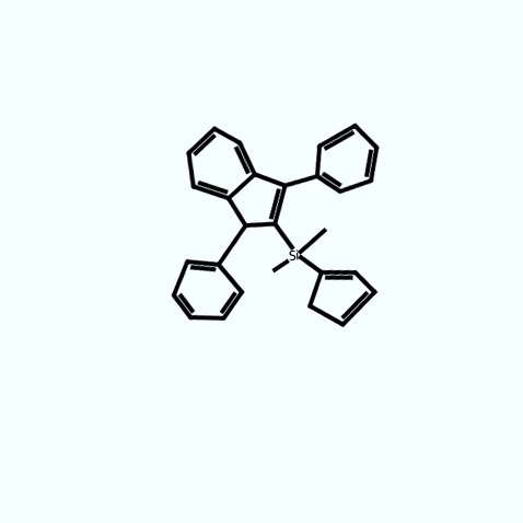 C[Si](C)(C1=CC=CC1)C1=C(c2ccccc2)c2ccccc2C1c1ccccc1